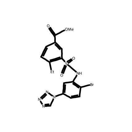 CCc1ccc(C(=O)OC)cc1S(=O)(=O)Nc1cc(-n2cnnn2)ccc1Br